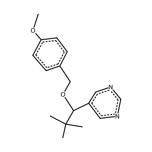 COc1ccc(COC(c2cncnc2)C(C)(C)C)cc1